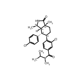 CC(C)N(C)C(=O)c1ccc([C@@H]2CC[C@@]3(C)C(=O)N[C@H](C)[C@H]3[C@H]2c2ccc(Cl)cc2)c(Cl)c1